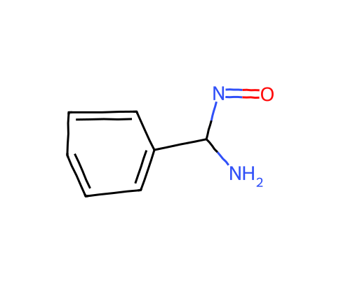 NC(N=O)c1ccccc1